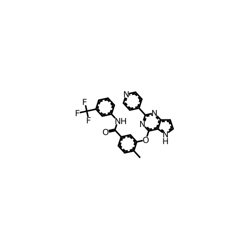 Cc1ccc(C(=O)Nc2cccc(C(F)(F)F)c2)cc1Oc1nc(-c2ccncc2)nc2cc[nH]c12